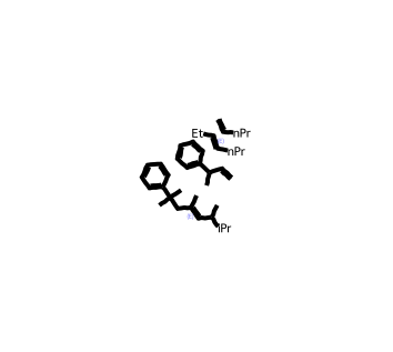 C/C(=C\C(C)C(C)C)CC(C)(C)c1ccccc1.C=CC(C)c1ccccc1.C=CCCC.CC/C=C/CCC